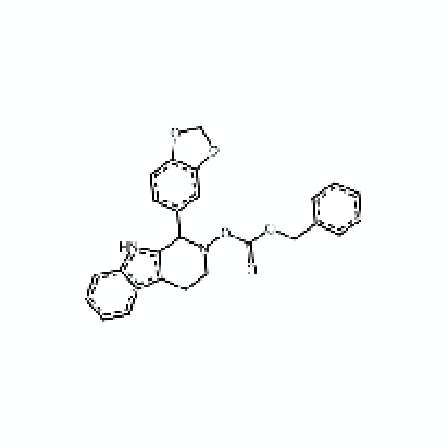 O=C(OCc1ccccc1)ON1CCc2c([nH]c3ccccc23)C1c1ccc2c(c1)OCO2